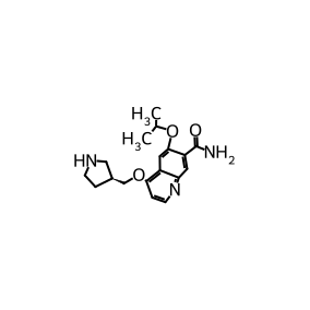 CC(C)Oc1cc2c(OC[C@H]3CCNC3)ccnc2cc1C(N)=O